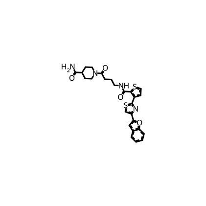 NC(=O)C1CCN(C(=O)CCCNC(=O)c2sccc2-c2nc(-c3cc4ccccc4o3)cs2)CC1